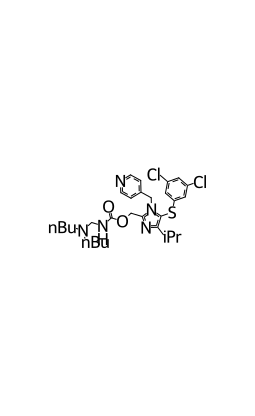 CCCCN(CCCC)CNC(=O)OCc1nc(C(C)C)c(Sc2cc(Cl)cc(Cl)c2)n1Cc1ccncc1